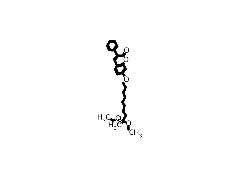 CCO[Si](C)(CCCCCCCCOc1ccc2cc(-c3ccccc3)c(=O)oc2c1)OCC